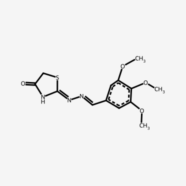 COc1cc(C=NN=C2NC(=O)CS2)cc(OC)c1OC